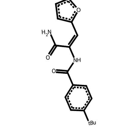 CC(C)(C)c1ccc(C(=O)NC(=Cc2ccco2)C(N)=O)cc1